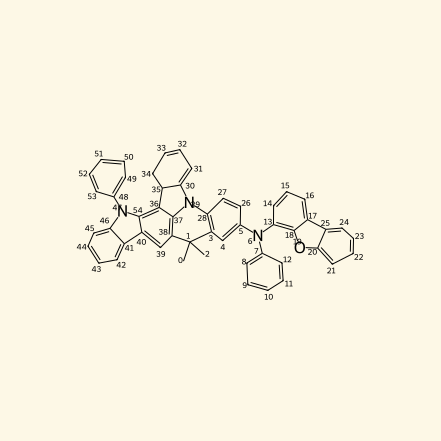 CC1(C)c2cc(N(c3ccccc3)c3cccc4c3oc3ccccc34)ccc2N2C3=CC=CCC3c3c2c1cc1c2ccccc2n(-c2ccccc2)c31